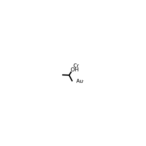 CC(C)O.[Au].[Cr]